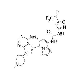 CN1CCC(n2cc(-c3ccc(NC(=O)Nc4cc(C5(C(F)(F)F)CC5)on4)c4nccn34)c3c(N)ncnc32)CC1